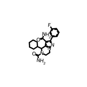 NC(=O)c1c(-c2cccc(F)c2)nn2c1C(C1CCCCC1)N(C(N)=O)CC2